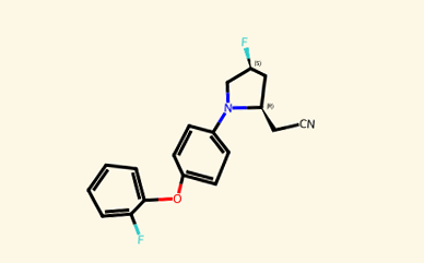 N#CC[C@@H]1C[C@H](F)CN1c1ccc(Oc2ccccc2F)cc1